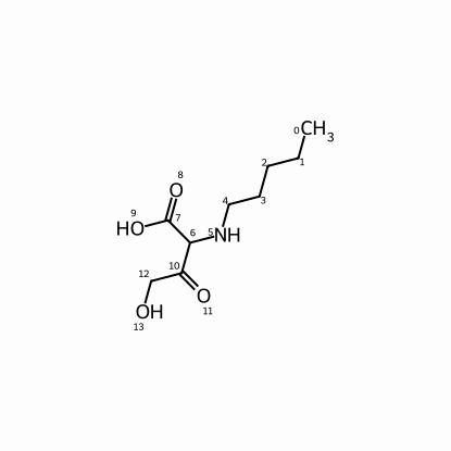 CCCCCNC(C(=O)O)C(=O)CO